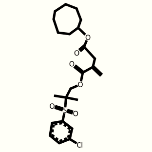 C=C(CC(=O)OC1CCCCCCC1)C(=O)OCC(C)(C)S(=O)(=O)c1cccc(Cl)c1